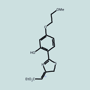 CCOC(=O)/C=C1/CSC(c2ccc(OCCOC)cc2O)=N1